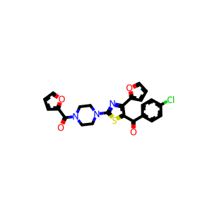 O=C(c1ccc(Cl)cc1)c1sc(N2CCN(C(=O)c3ccco3)CC2)nc1-c1ccco1